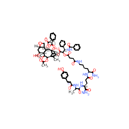 CC(=O)O[C@H]1C(=O)[C@@]2(C)[C@H]([C@H](OC(=O)c3ccccc3)[C@]3(O)C[C@H](OC(=O)[C@H](OC(=O)CCC(=O)NCCCCC(NC(=O)CC[C@H](NC(=O)C(C)NC(=O)/C=C/c4ccc(O)cc4)C(N)=O)C(N)=O)[C@@H](NC(=O)c4ccccc4)c4ccccc4)C(C)=C1C3(C)C)[C@]1(OC(C)=O)CO[C@@H]1C[C@@H]2O